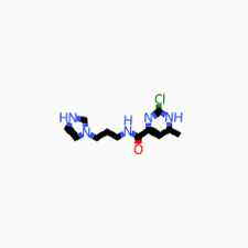 CC1C=C(C(=O)NCCCN2C=CNC2)N=C(Cl)N1